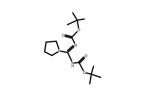 CC(C)(C)OC(=O)/N=C(/NC(=O)OC(C)(C)C)N1CCCC1